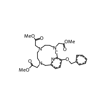 COC(=O)CN1CCN(CC(=O)OC)Cc2ccc(OCc3ccccc3)c(n2)CN(CC(=O)OC)CC1